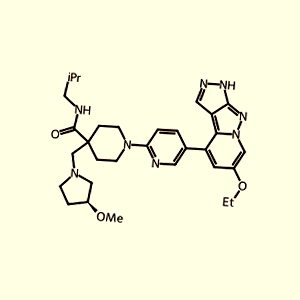 CCOc1cc(-c2ccc(N3CCC(CN4CC[C@H](OC)C4)(C(=O)NCC(C)C)CC3)nc2)c2c3cn[nH]c3nn2c1